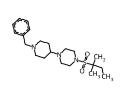 CCC(C)(C)S(=O)(=O)N1CCN(C2CCN(Cc3ccccc3)CC2)CC1